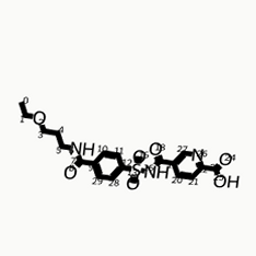 CCOCCCNC(=O)c1ccc(S(=O)(=O)NC(=O)c2ccc(C(=O)O)nc2)cc1